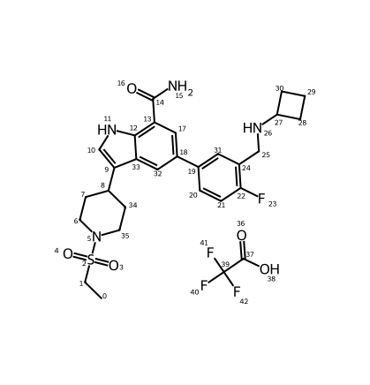 CCS(=O)(=O)N1CCC(c2c[nH]c3c(C(N)=O)cc(-c4ccc(F)c(CNC5CCC5)c4)cc23)CC1.O=C(O)C(F)(F)F